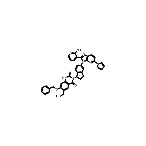 Nc1ncccc1-c1nc2ccc(-n3cccn3)nc2n1-c1ccc2c(c1)CC[C@@H]2n1c(=O)[nH]c2cc(OCc3ccccc3)c(CO)cc2c1=O